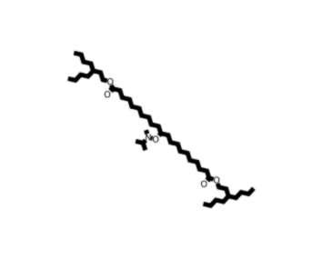 CCCCC(CCCC)CCOC(=O)CCCCCCCCCC(CCCCCCCCCC(=O)OCCC(CCCC)CCCC)ON(C)C(C)C